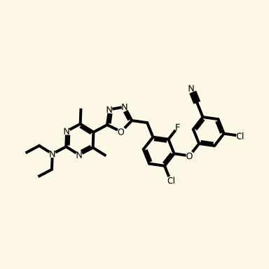 CCN(CC)c1nc(C)c(-c2nnc(Cc3ccc(Cl)c(Oc4cc(Cl)cc(C#N)c4)c3F)o2)c(C)n1